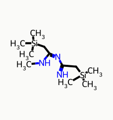 CN/C(C[Si](C)(C)C)=N\C(=N)C[Si](C)(C)C